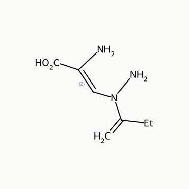 C=C(CC)N(N)/C=C(\N)C(=O)O